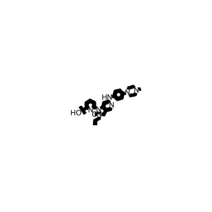 C=CC[N+]1([O-])Cc2cnc(Nc3ccc(N4CCN(C)CC4)cc3)cc2N1c1cccc(C(C)(C)O)n1